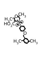 Cc1ccc(C)c(COc2ccc(S(=O)(=O)N3C[C@H](C)O[C@@H](C)[C@@H]3C(=O)O)cc2)c1